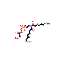 CCCCCCCCCCCCCCCC(=O)N(CCOP(=O)(O)OCC(O)CO)C(=O)CCCCCCCCCCCCCCC